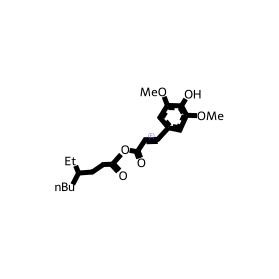 CCCCC(CC)CCC(=O)OC(=O)/C=C/c1cc(OC)c(O)c(OC)c1